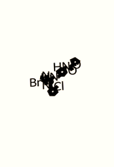 O=C(Nc1ccc(CNc2cc(-c3ccccc3Cl)nc3c(Br)cnn23)cc1)C1CCCO1